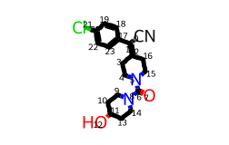 N#CC(=C1CCN(C(=O)N2CCC(O)CC2)CC1)c1ccc(Cl)cc1